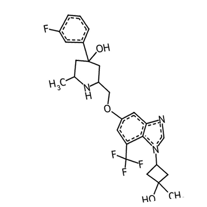 CC1CC(O)(c2cccc(F)c2)CC(COc2cc(C(F)(F)F)c3c(c2)ncn3C2CC(C)(O)C2)N1